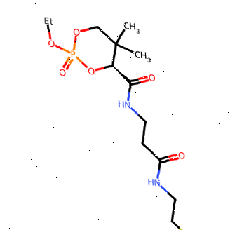 CCOP1(=O)OCC(C)(C)[C@@H](C(=O)NCCC(=O)NCCS)O1